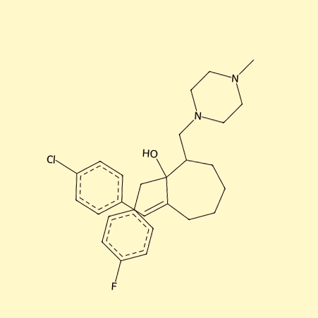 CN1CCN(CC2CCCCC(=Cc3ccc(Cl)cc3)C2(O)Cc2ccc(F)cc2)CC1